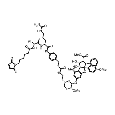 COC(=O)[C@H]1[C@@H](O)[C@@]2(O)c3c(OC)cc(O[C@@H]4O[C@@H](CCNC(=O)OCc5ccc(NC(=O)[C@H](CCCNC(N)=O)NC(=O)[C@@H](NC(=O)CCCCCN6C(=O)C=CC6=O)C(C)C)cc5)CO[C@H]4OC)cc3O[C@@]2(c2ccc(OC)cc2)[C@@H]1c1ccccc1